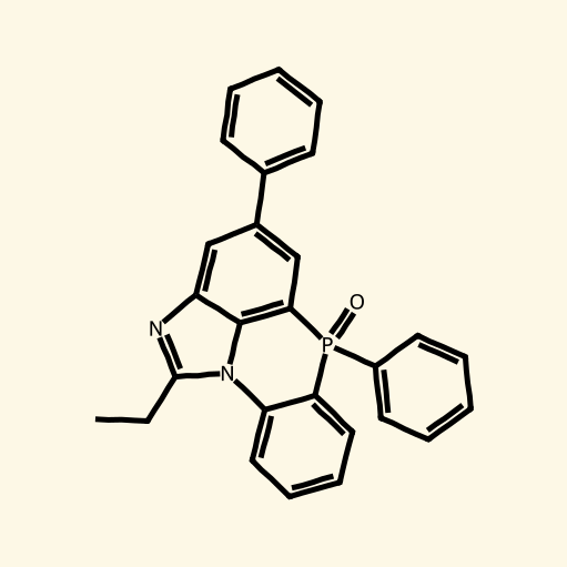 CCc1nc2cc(-c3ccccc3)cc3c2n1-c1ccccc1P3(=O)c1ccccc1